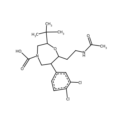 CC(=O)NCCC1OC(C(C)(C)C)CN(C(=O)O)CC1c1ccc(Cl)c(Cl)c1